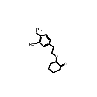 COc1ccc(CCOC2CCCCC2=O)cc1O